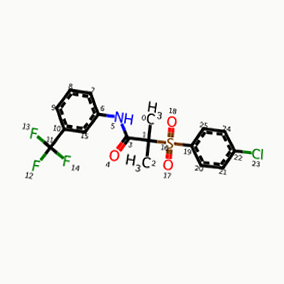 CC(C)(C(=O)Nc1cccc(C(F)(F)F)c1)S(=O)(=O)c1ccc(Cl)cc1